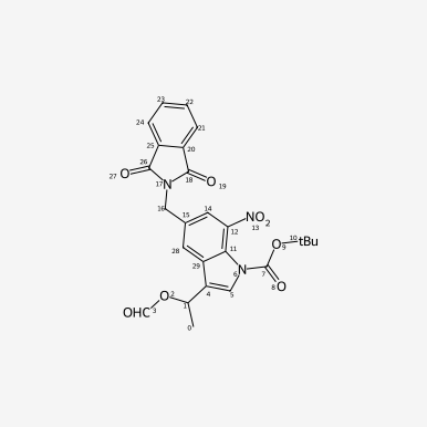 CC(OC=O)c1cn(C(=O)OC(C)(C)C)c2c([N+](=O)[O-])cc(CN3C(=O)c4ccccc4C3=O)cc12